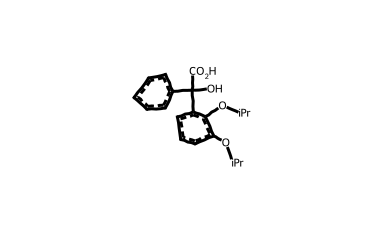 CC(C)Oc1cccc(C(O)(C(=O)O)c2ccccc2)c1OC(C)C